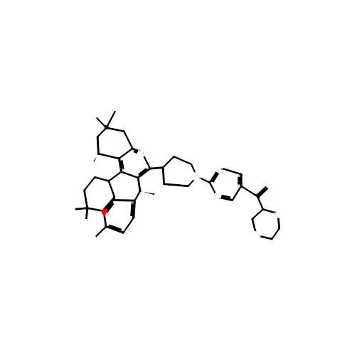 CC1(C)Cc2nc(C3CCN(c4ncc(C(=O)C5COCCN5)cn4)CC3)c([C@@H](F)c3ccc(C(F)(F)F)cc3)c(C3CCC(F)(F)CC3)c2[C@@H](O)C1